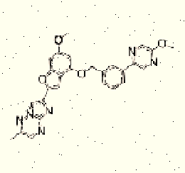 COc1cc(OCc2cccc(-c3cnc(OC)cn3)c2)c2cc(-c3cn4nc(C)cnc4n3)oc2c1